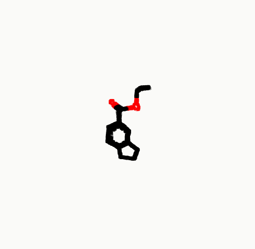 CCOC(=O)c1ccc2c(c1)CCC2